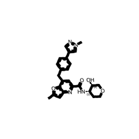 Cc1cc2nc(C(=O)N[C@H]3CCOC[C@@H]3O)cc(Cc3ccc(-c4cnn(C)c4)cc3)c2o1